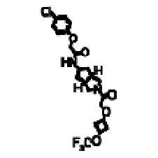 O=C(COc1ccc(Cl)cc1)N[C@H]1C[C@@H]2CN(C(=O)CO[C@H]3C[C@@H](OC(F)(F)F)C3)C[C@@H]2C1